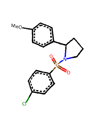 COc1ccc(C2CCCN2S(=O)(=O)c2ccc(Cl)cc2)cc1